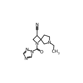 CCN1CCC2(C1)C(C#N)CN2C(=O)n1cncn1